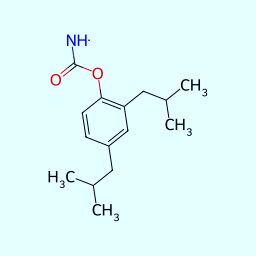 CC(C)Cc1ccc(OC([NH])=O)c(CC(C)C)c1